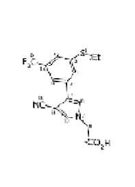 CCSc1cc(-c2cn(CC(=O)O)cc2C#N)cc(C(F)(F)F)c1